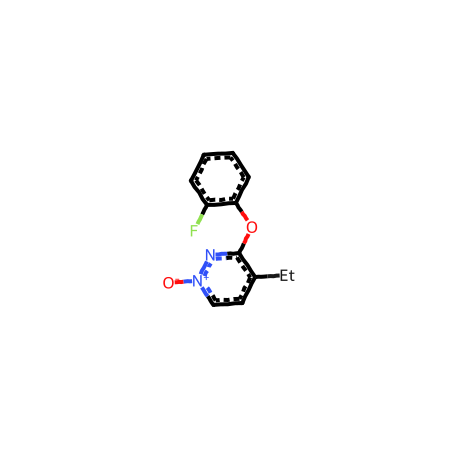 CCc1cc[n+]([O-])nc1Oc1ccccc1F